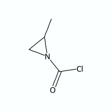 CC1CN1C(=O)Cl